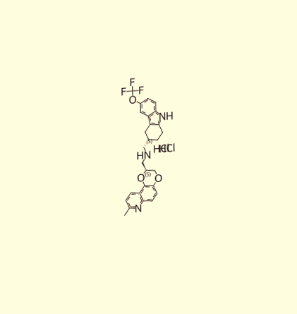 Cc1ccc2c3c(ccc2n1)OC[C@H](CNC[C@H]1CCc2[nH]c4ccc(OC(F)(F)F)cc4c2C1)O3.Cl.Cl